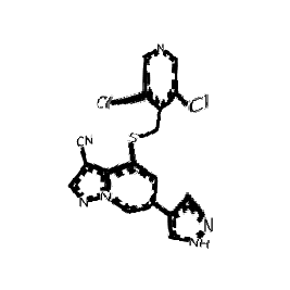 N#Cc1cnn2cc(-c3cn[nH]c3)cc(SCc3c(Cl)cncc3Cl)c12